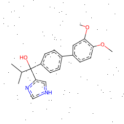 COc1ccc(-c2ccc(C(O)(c3c[nH]cn3)C(C)C)cc2)cc1OC